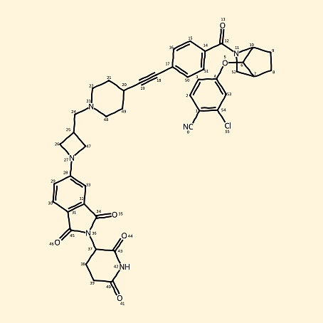 N#Cc1ccc(OC2C3CCC2N(C(=O)c2ccc(C#CC4CCN(CC5CN(c6ccc7c(c6)C(=O)N(C6CCC(=O)NC6=O)C7=O)C5)CC4)cc2)C3)cc1Cl